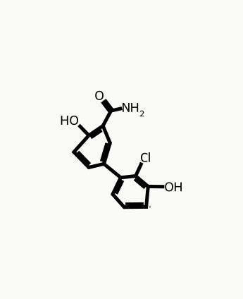 NC(=O)c1cc(-c2cc[c]c(O)c2Cl)ccc1O